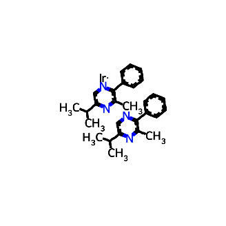 Cc1nc(C(C)C)cnc1-c1ccccc1.Cc1nc(C(C)C)cnc1-c1ccccc1.[Ir]